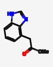 COC(=O)Cc1cccc2[nH]cnc12